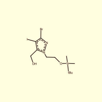 CC(C)(C)[Si](C)(C)OCCn1nc(Br)c(I)c1CO